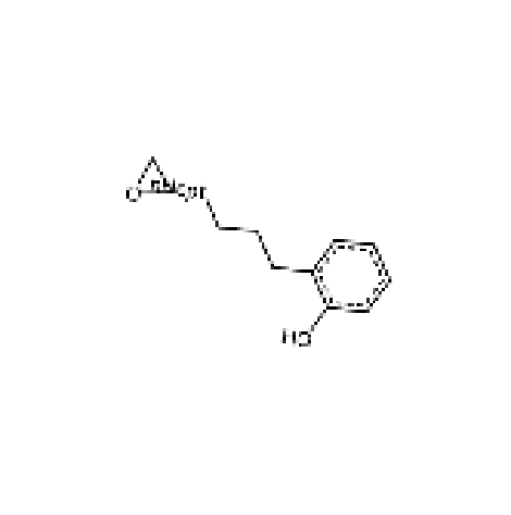 C1CO1.CCCCCCCCCCc1ccccc1O